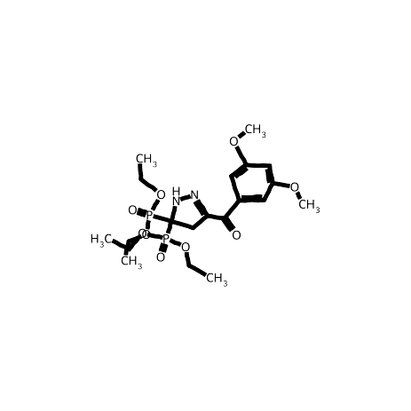 CCOP(=O)(OCC)C1(P(=O)(OCC)OCC)CC(C(=O)c2cc(OC)cc(OC)c2)=NN1